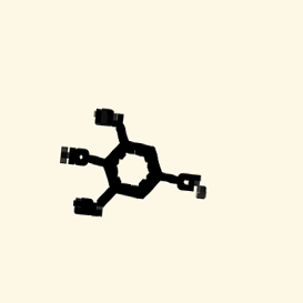 CC(C)(C)c1cc(C(F)(F)F)cc(C(C)(C)C)c1O